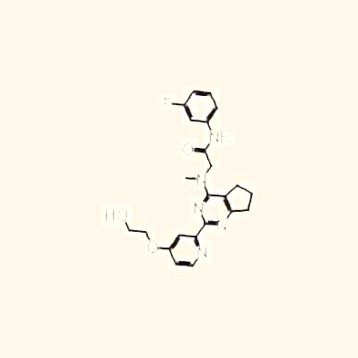 CN(CC(=O)Nc1cccc(F)c1)c1nc(-c2cc(OCCO)ccn2)nc2c1CCC2